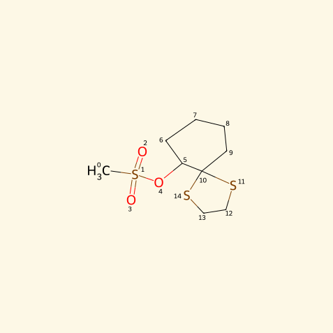 CS(=O)(=O)OC1CCCCC12SCCS2